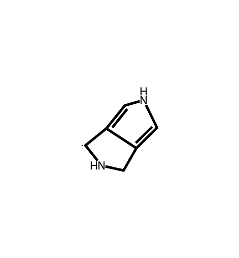 [CH]1NCc2c[nH]cc21